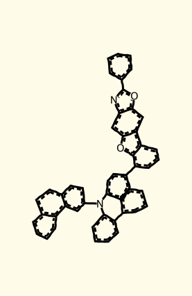 c1ccc(-c2nc3cc4oc5c(-c6ccc(N(c7ccc8ccc9ccccc9c8c7)c7ccccc7-c7ccccc7)cc6)cccc5c4cc3o2)cc1